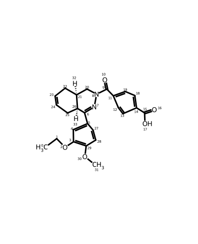 CCOc1cc(C2=NN(C(=O)c3ccc(C(=O)O)cc3)C[C@@H]3CC=CC[C@H]23)ccc1OC